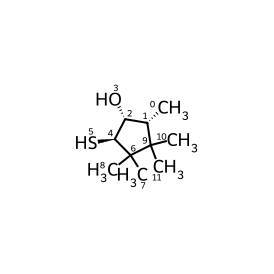 C[C@H]1[C@@H](O)[C@H](S)C(C)(C)C1(C)C